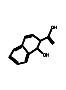 C=C(O)C1C=Cc2ccccc2C1O